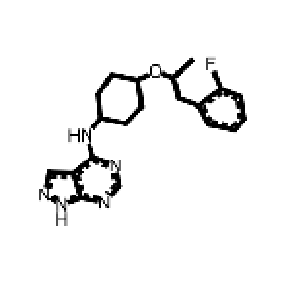 CC(Cc1ccccc1F)OC1CCC(Nc2ncnc3[nH]ncc23)CC1